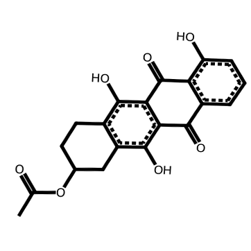 CC(=O)OC1CCc2c(O)c3c(c(O)c2C1)C(=O)c1cccc(O)c1C3=O